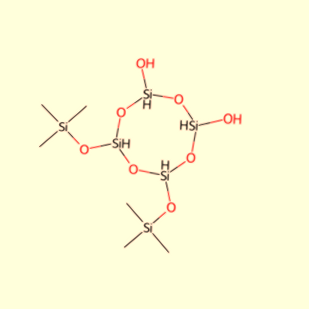 C[Si](C)(C)O[SiH]1O[SiH](O)O[SiH](O)O[SiH](O[Si](C)(C)C)O1